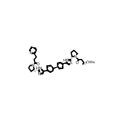 CO[C@H](C)CC(=O)N1CCC[C@H]1c1ncc(-c2ccc(-c3ccc(-c4cnc([C@@H]5CCCN5C(=O)CCc5ccccn5)[nH]4)cc3)cc2)[nH]1